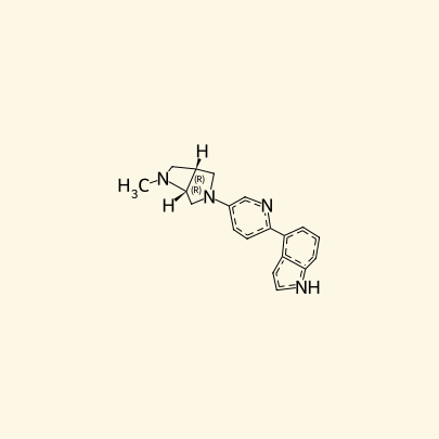 CN1C[C@@H]2CN(c3ccc(-c4cccc5[nH]ccc45)nc3)C[C@@H]21